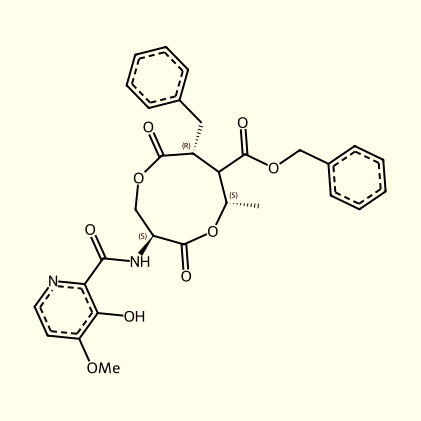 COc1ccnc(C(=O)N[C@H]2COC(=O)[C@H](Cc3ccccc3)C(C(=O)OCc3ccccc3)[C@H](C)OC2=O)c1O